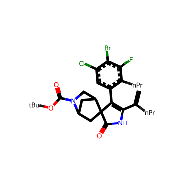 C=C(CCC)C1=C(c2cc(Cl)c(Br)c(F)c2CCC)C2(CC3CC2CN3C(=O)OC(C)(C)C)C(=O)N1